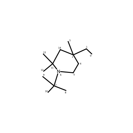 CCC1(C)CCN(C(C)(C)C)C(C)(C)C1